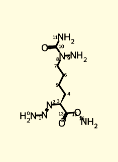 NN=N[C@@H](CCCCN(N)C(N)=O)C(=O)ON